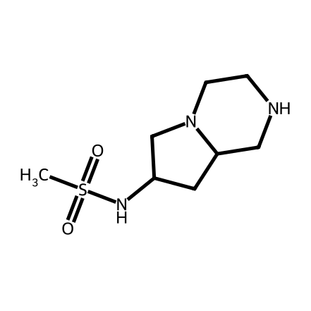 CS(=O)(=O)NC1CC2CNCCN2C1